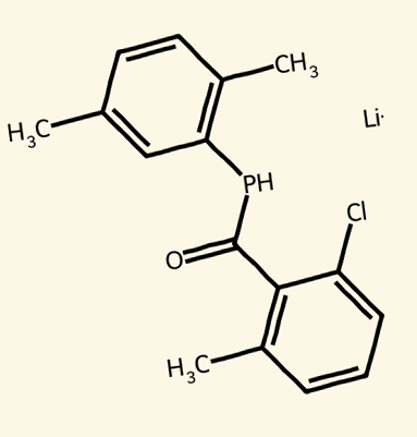 Cc1ccc(C)c(PC(=O)c2c(C)cccc2Cl)c1.[Li]